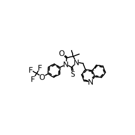 CC1(C)C(=O)N(c2ccc(OC(F)(F)F)cc2)C(=S)N1Cc1ccnc2ccccc12